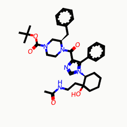 CC(=O)NCCC1(O)CCCC[C@@H]1n1cnc(C(=O)N2CCN(C(=O)OC(C)(C)C)C[C@H]2Cc2ccccc2)c1-c1ccccc1